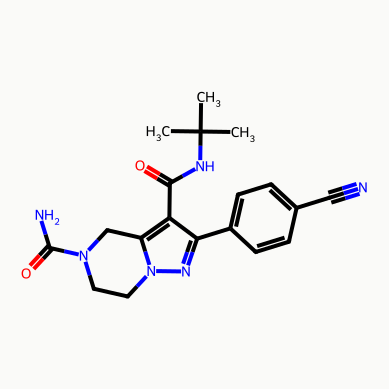 CC(C)(C)NC(=O)c1c(-c2ccc(C#N)cc2)nn2c1CN(C(N)=O)CC2